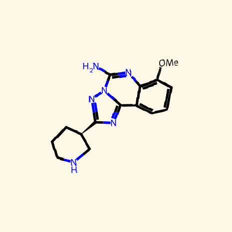 COc1cccc2c1nc(N)n1nc([C@@H]3CCCNC3)nc21